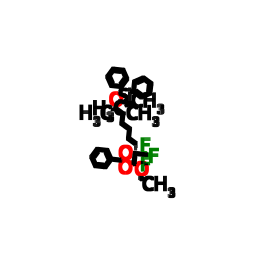 CCOC(=O)[C@@](CCCCC[C@H](C)O[Si](c1ccccc1)(c1ccccc1)C(C)(C)C)(OCc1ccccc1)C(F)(F)F